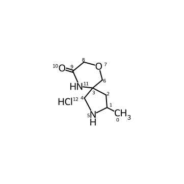 CC1CC2(CN1)COCC(=O)N2.Cl